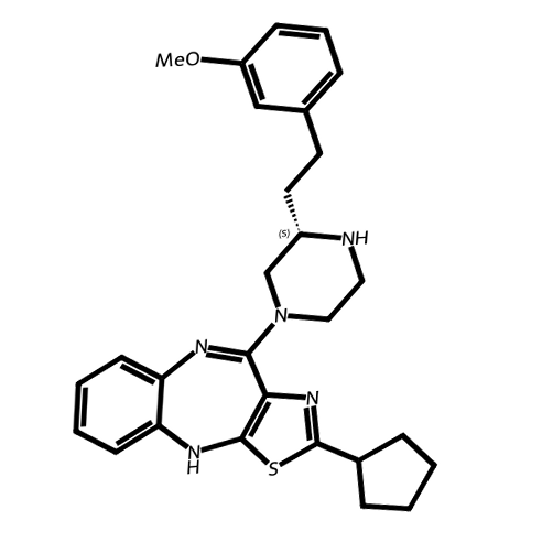 COc1cccc(CC[C@H]2CN(C3=Nc4ccccc4Nc4sc(C5CCCC5)nc43)CCN2)c1